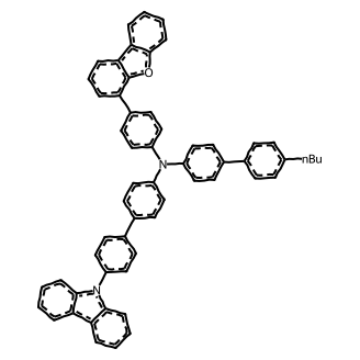 CCCCc1ccc(-c2ccc(N(c3ccc(-c4ccc(-n5c6ccccc6c6ccccc65)cc4)cc3)c3ccc(-c4cccc5c4oc4ccccc45)cc3)cc2)cc1